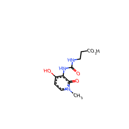 Cn1ccc(O)c(NC(=O)NCCC(=O)O)c1=O